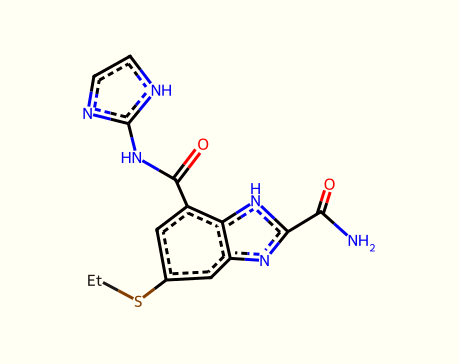 CCSc1cc(C(=O)Nc2ncc[nH]2)c2[nH]c(C(N)=O)nc2c1